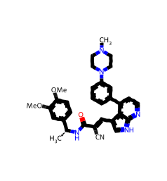 COc1ccc([C@@H](C)NC(=O)/C(C#N)=C/c2c[nH]c3nccc(-c4cccc(N5CCN(C)CC5)c4)c23)cc1OC